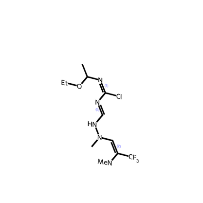 CCOC(C)/N=C(Cl)\N=C\NN(C)/C=C(\NC)C(F)(F)F